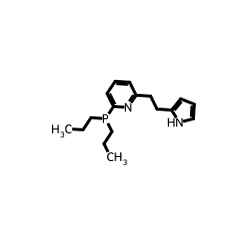 CCCP(CCC)c1cccc(CCc2ccc[nH]2)n1